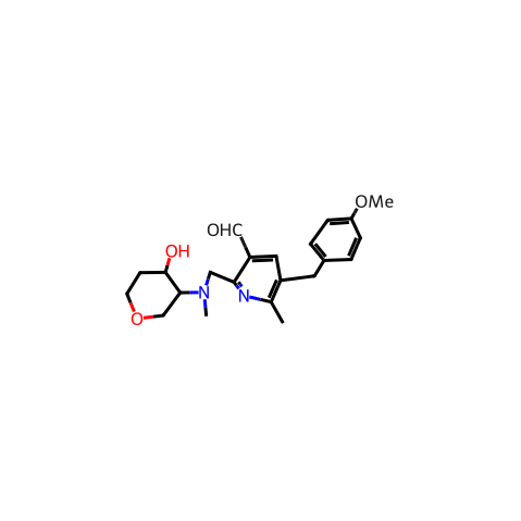 COc1ccc(Cc2cc(C=O)c(CN(C)C3COCCC3O)nc2C)cc1